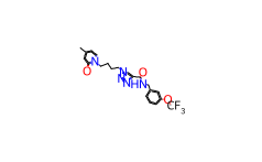 Cc1ccn(CCCCn2cc(C(=O)NCc3cccc(OC(F)(F)F)c3)nn2)c(=O)c1